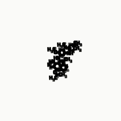 C=CC(=O)Nc1cc(Nc2c(-c3ncncc3C(=O)OC(C)C)c3cccnc3n2C)c(OC)cc1N(C)CCNC